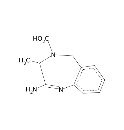 CC1C(N)=Nc2ccccc2CN1C(=O)O